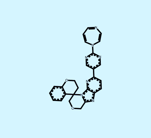 C1=CN(c2ncc(-c3ccc4nc5n(c4n3)C3(CCOc4ccccc43)COC5)cn2)C=CN=C1